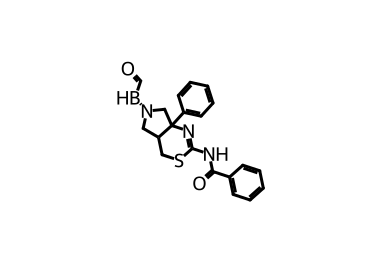 O=CBN1CC2CSC(NC(=O)c3ccccc3)=NC2(c2ccccc2)C1